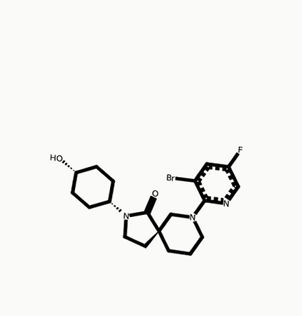 O=C1N([C@H]2CC[C@@H](O)CC2)CC[C@@]12CCCN(c1ncc(F)cc1Br)C2